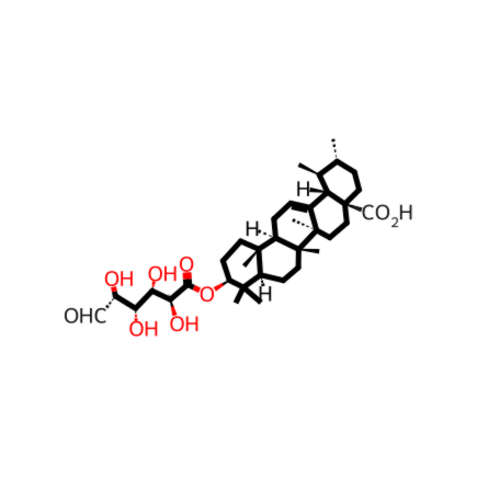 C[C@H]1[C@H](C)CC[C@]2(C(=O)O)CC[C@]3(C)C(=CC[C@@H]4[C@@]5(C)CC[C@H](OC(=O)[C@@H](O)[C@@H](O)[C@H](O)[C@@H](O)C=O)C(C)(C)[C@@H]5CC[C@]43C)[C@H]12